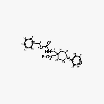 CCOC(=O)C1(CNC(=O)OCc2ccccc2)CCN(c2ccncc2)CC1